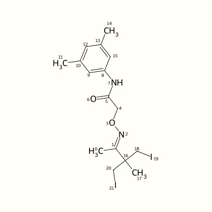 C/C(=N\OCC(=O)Nc1cc(C)cc(C)c1)C(C)(CI)CI